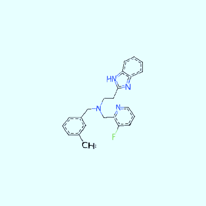 [CH]c1cccc(CN(CCc2nc3ccccc3[nH]2)Cc2ncccc2F)c1